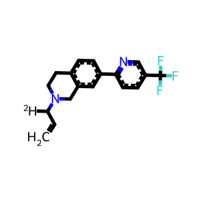 [2H]C(C=C)N1CCc2ccc(-c3ccc(C(F)(F)F)cn3)cc2C1